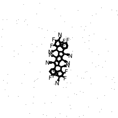 N#CC1=C(c2ccc(F)cc2)C(C(C#N)c2c(F)c(F)c(C#N)c(F)c2F)c2c(C#N)c3c(c(C#N)c21)C(C(C#N)c1c(F)c(F)c(C#N)c(F)c1F)C(c1ccc(F)cc1)=C3C#N